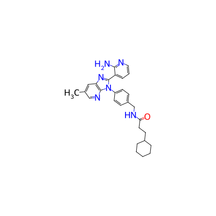 Cc1cnc2c(c1)nc(-c1cccnc1N)n2-c1ccc(CNC(=O)CCC2CCCCC2)cc1